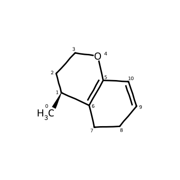 C[C@H]1CCOC2=C1CCC=C2